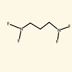 FN(F)CCCN(F)F